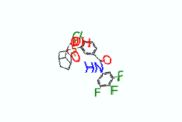 O=C(Nc1cc(F)c(F)c(F)c1)c1ccc(Cl)c(S(=O)(=O)CC2C3CCC2CC(CO)C3)c1